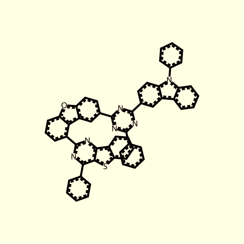 c1ccc(-c2nc(-c3ccc4oc5cccc(-c6nc(-c7ccccc7)c7sc8ccccc8c7n6)c5c4c3)nc(-c3ccc4c(c3)c3ccccc3n4-c3ccccc3)n2)cc1